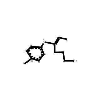 C/C=C(\CCCF)Sc1ccc(C)cc1